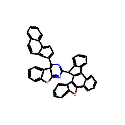 c1ccc2c(c1)-c1c(c3c4ccccc4sc3c3ccccc13)C2c1nc(-c2ccc3c(ccc4ccccc43)c2)c2c(n1)sc1ccccc12